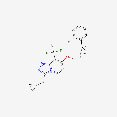 Fc1ccccc1[C@H]1C[C@@H]1COc1ccn2c(CC3CC3)nnc2c1C(F)(F)F